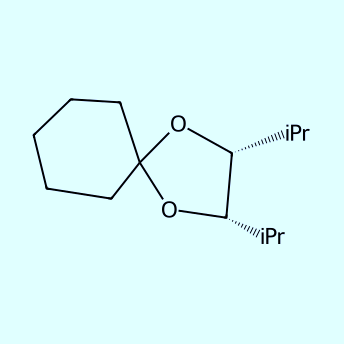 CC(C)[C@H]1OC2(CCCCC2)O[C@H]1C(C)C